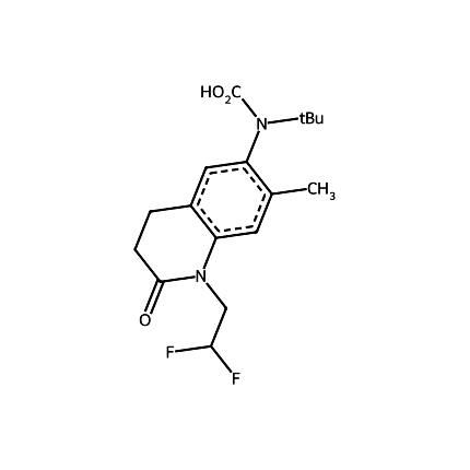 Cc1cc2c(cc1N(C(=O)O)C(C)(C)C)CCC(=O)N2CC(F)F